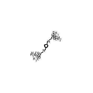 CO[Si](CCCN=Cc1ccc(C=NCCC[Si](OC)(OC)OC)cc1)(OC)OC